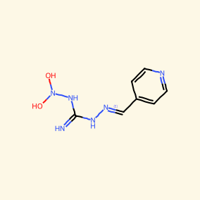 N=C(N/N=C/c1ccncc1)NN(O)O